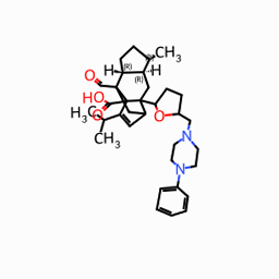 CC(C)C1=CC2CC3(C=O)[C@@H]4CC[C@@H](C)[C@H]4CC2(C2CCC(CN4CCN(c5ccccc5)CC4)O2)C13C(=O)O